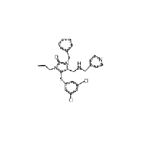 CCCn1c(Sc2cc(Cl)cc(Cl)c2)c(CNCc2ccncc2)n(Cc2ccccc2)c1=O